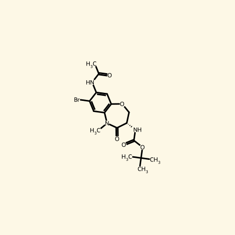 CC(=O)Nc1cc2c(cc1Br)N(C)C(=O)[C@@H](NC(=O)OC(C)(C)C)CO2